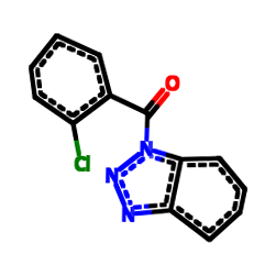 O=C(c1ccccc1Cl)n1nnc2ccccc21